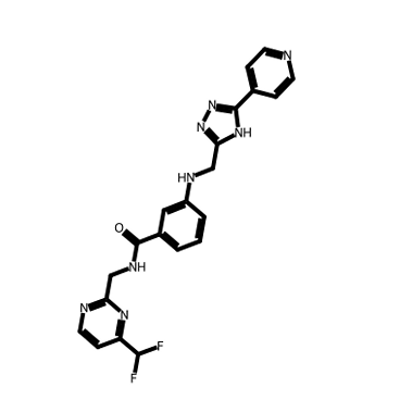 O=C(NCc1nccc(C(F)F)n1)c1cccc(NCc2nnc(-c3ccncc3)[nH]2)c1